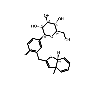 CC12C=CC=C[C@H]1SC(Cc1cc([C@@H]3O[C@H](CO)[C@@H](O)[C@H](O)[C@H]3O)ccc1F)=C2